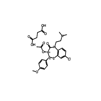 COc1ccc([C@@H]2Sc3cc(Cl)ccc3N(CCN(C)C)C(=O)[C@@H]2OC(C)=O)cc1.O=C(O)CCC(=O)O